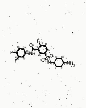 NC1CCC(NS(=O)(=O)c2ccc(F)c(C(=O)Nc3ccc(F)c(F)c3)c2)CC1